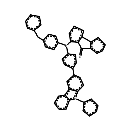 O=C1c2ccccc2-c2cccc(N(c3ccc(Cc4ccccc4)cc3)c3ccc(-c4ccc5c(c4)c4ccccc4n5-c4ccccc4)cc3)c21